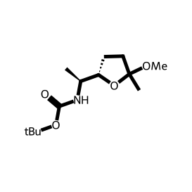 COC1(C)CC[C@@H]([C@H](C)NC(=O)OC(C)(C)C)O1